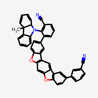 CC12C=CC=CC1N(c1c(C#N)cccc1-c1ccc3oc4cc5oc6ccc(-c7cccc(C#N)c7)cc6c5cc4c3c1)c1ccccc12